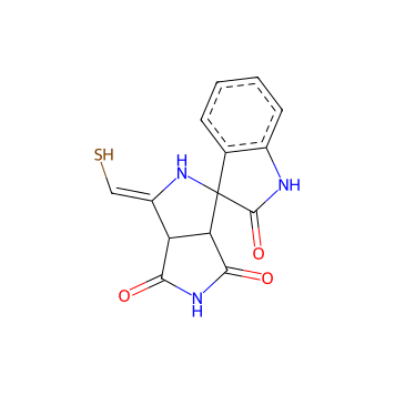 O=C1NC(=O)C2C1C(=CS)NC21C(=O)Nc2ccccc21